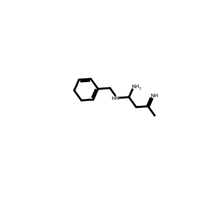 CC(=N)CC(N)NCC1=CCCC=C1